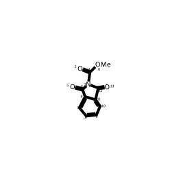 COC(=O)N1C(=O)c2ccccc2C1=O